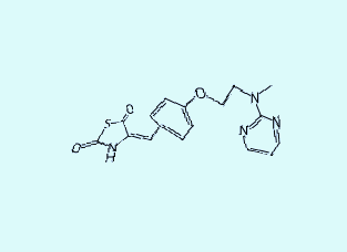 CN(CCOc1ccc(C=C2NC(=O)SC2=O)cc1)c1ncccn1